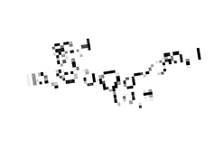 O=C(O)c1cc(OCC(COS(=O)(=O)O)OS(=O)(=O)O)ccc1OCCCOS(=O)(=O)O